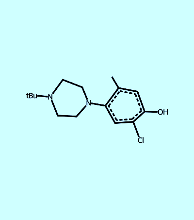 Cc1cc(O)c(Cl)cc1N1CCN(C(C)(C)C)CC1